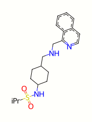 CC(C)S(=O)(=O)NC1CCC(CNCc2nccc3ccccc23)CC1